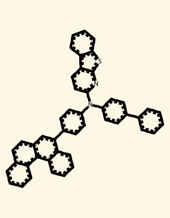 c1ccc(-c2ccc(N(c3ccc(-c4cc5ccc6ccccc6c5c5ccccc45)cc3)c3ccc4c(n3)sc3ccccc34)cc2)cc1